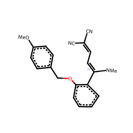 CN/C(=C\C=C(C#N)C#N)c1ccccc1OCc1ccc(OC)cc1